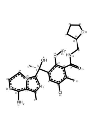 Cc1nc([C@@](C)(O)c2cc(Cl)c(F)c(C(=O)NC[C@H]3CCCO3)c2OC(C)C)n2ccnc(N)c12